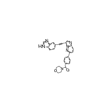 O=C(c1ccc(-c2ccc3ncc(C#Cc4ccc5[nH]cnc5c4)n3n2)cc1)N1CCOCC1